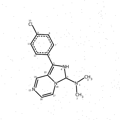 CN(C)C1NC(c2ccc(Cl)cc2)=C2C=NC=CN21